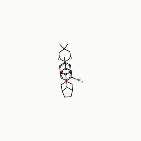 CC1(C)COB(c2ccc(N3C4CCC3CC(c3ccc(F)cc3)C4)c([N+](=O)[O-])c2)OC1